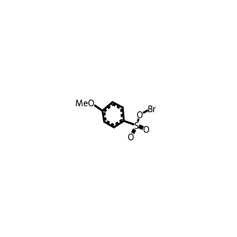 COc1ccc(S(=O)(=O)OBr)cc1